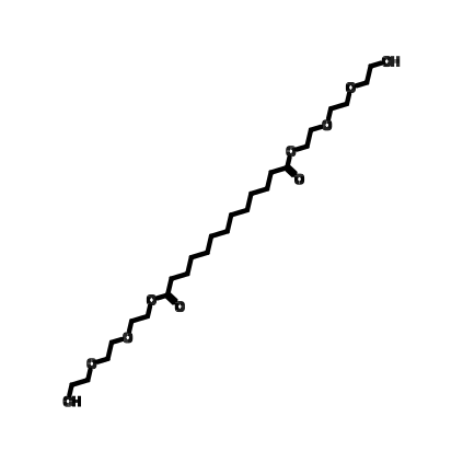 O=C(CCCCCCCCCCCC(=O)OCCOCCOCCO)OCCOCCOCCO